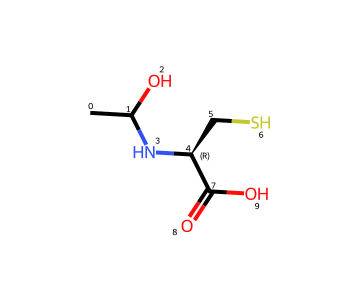 CC(O)N[C@@H](CS)C(=O)O